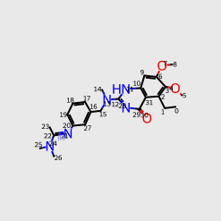 CCc1c(OC)c(OC)cc2[nH]c(N(C)Cc3cccc(/N=C(\C)N(C)C)c3)nc(=O)c12